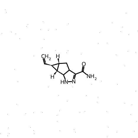 C=C[C@H]1[C@@H]2CC3C(C(N)=O)=NNC3[C@H]12